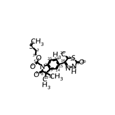 CSCCOC(=O)N1C(=O)C(C)(C)c2cc(C3=NNC(=O)SC3C)ccc21